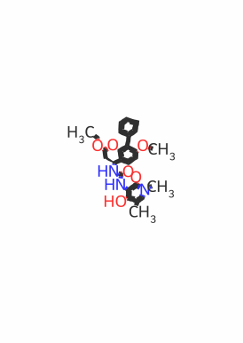 CCOC(=O)C[C@H](NC(=O)Nc1c(O)c(C)cn(C)c1=O)c1ccc(OC)c(-c2ccccc2)c1